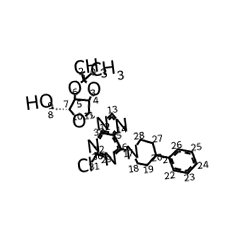 CC1(C)OC2C(O1)[C@@H](CO)O[C@H]2n1cnc2c(N3CCC(c4ccccc4)CC3)nc(Cl)nc21